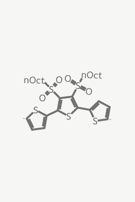 CCCCCCCCS(=O)(=O)c1c(-c2cc[c]s2)sc(-c2cc[c]s2)c1S(=O)(=O)CCCCCCCC